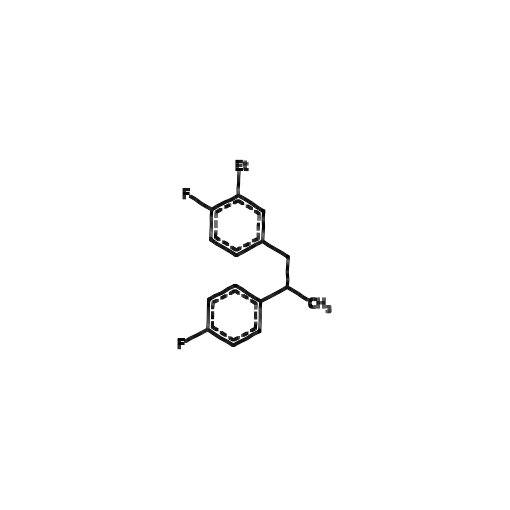 CCc1cc(CC(C)c2ccc(F)cc2)ccc1F